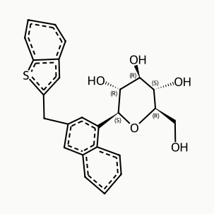 OC[C@H]1O[C@@H](c2cc(Cc3cc4ccccc4s3)cc3ccccc23)[C@H](O)[C@@H](O)[C@@H]1O